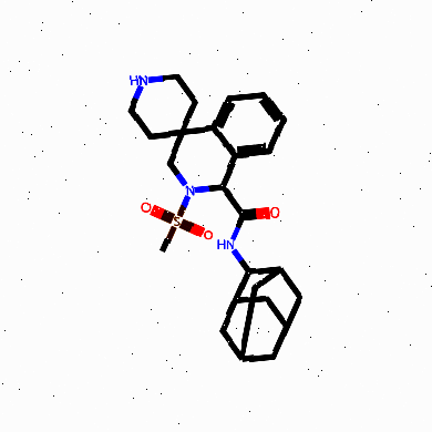 CS(=O)(=O)N1CC2(CCNCC2)c2ccccc2C1C(=O)NC1C2CC3CC(C2)CC1C3